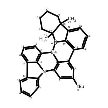 CC(C)(C)c1cc2c3c(c1)-n1c4ccccc4c4cccc(c41)B3N1c3c-2cccc3C2(C)CCCCC12C